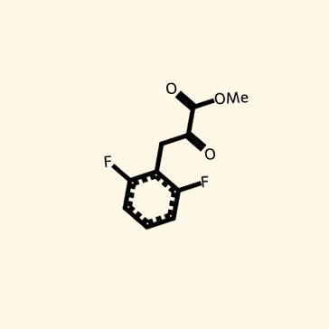 COC(=O)C(=O)Cc1c(F)cccc1F